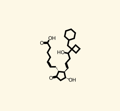 O=C(O)CCC/C=C\C[C@H]1C(=O)C[C@@H](O)[C@@H]1/C=C/CC(O)C1(CC2CCCCC2)CCC1